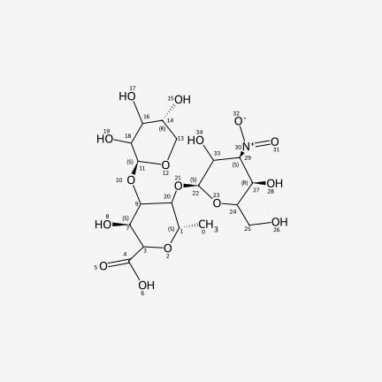 C[C@@H]1OC(C(=O)O)[C@@H](O)C(O[C@@H]2OC[C@@H](O)C(O)C2O)C1O[C@@H]1OC(CO)[C@H](O)[C@H]([N+](=O)[O-])C1O